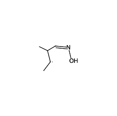 C[CH]C(C)/C=N\O